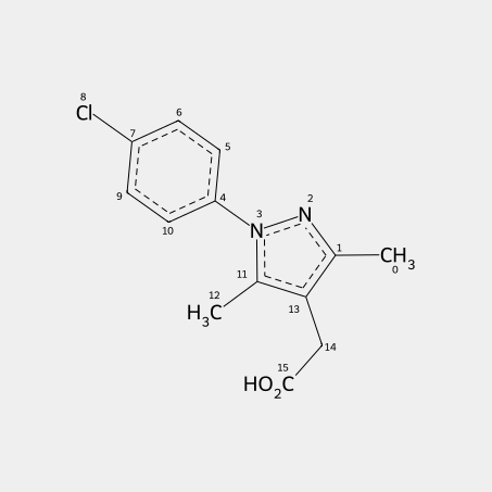 Cc1nn(-c2ccc(Cl)cc2)c(C)c1CC(=O)O